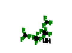 FC(F)F.FC(F)F.F[B-](F)(F)F.F[B-](F)(F)F.[LiH]